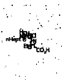 CCCCCCCNC(=O)N(C)c1cccc(-c2cc(OCC)c(C=CC(=O)O)cn2)c1.Cl